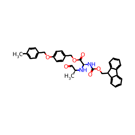 Cc1ccc(COc2ccc(COC(=O)[C@@H](NC(=O)OCC3c4ccccc4-c4ccccc43)N[C@@H](C)C=O)cc2)cc1